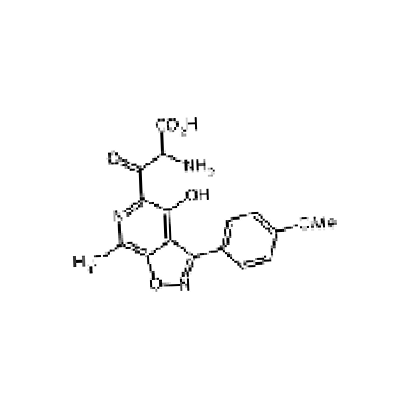 COc1ccc(-c2noc3c(C)nc(C(=O)C(N)C(=O)O)c(O)c23)cc1